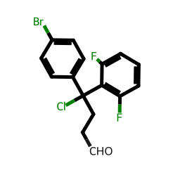 O=CCCC(Cl)(c1ccc(Br)cc1)c1c(F)cccc1F